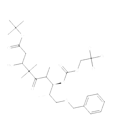 CC(C(=O)C(C)(C)C(O)CC(=O)OC(C)(C)C)[C@@H](OC(=O)OCC(Cl)(Cl)Cl)[C@@H](C)COCc1ccccc1